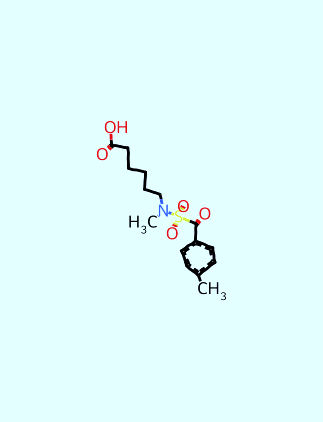 Cc1ccc(C(=O)S(=O)(=O)N(C)CCCCCC(=O)O)cc1